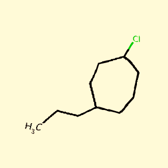 CCCC1CCCC(Cl)CC1